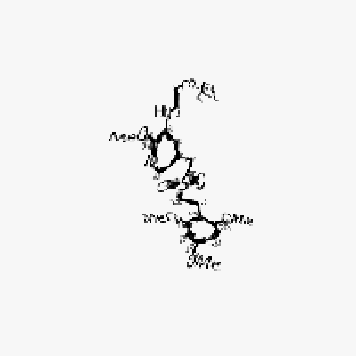 CCOC(=O)/C=C/Nc1cc(CS(=O)(=O)/C=C/c2c(OC)cc(OC)cc2OC)cnc1OC